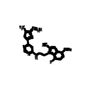 COc1ccc(F)c2c1cc(C#N)n2CCNc1cc(-c2cc(C(F)(F)F)c(C(=O)O)s2)ncn1